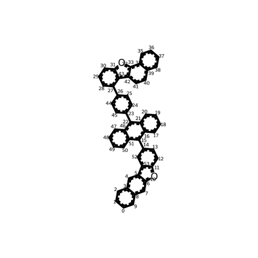 c1ccc2cc3c(cc2c1)oc1ccc(-c2c4ccccc4c(-c4ccc(-c5cccc6oc7c8ccccc8ccc7c56)cc4)c4ccccc24)cc13